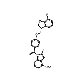 CC(=O)Oc1cccc2c1cc(C)n2C(=O)c1ccc(OC[C@@H]2COc3c(F)cccc32)cc1